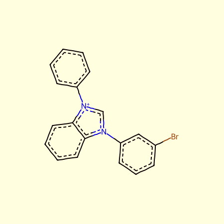 Brc1cccc(-n2c[n+](-c3ccccc3)c3ccccc32)c1